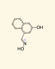 O/N=C/c1cc(O)cc2ccccc12